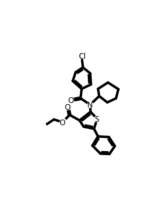 CCOC(=O)c1cc(-c2ccccc2)sc1N(C(=O)c1ccc(Cl)cc1)C1CCCCC1